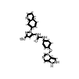 CC(C)(C)c1cc(NC(=O)Nc2ccc(ON3C=NC=C4NNC=C43)cc2)n(-c2ccc3cccnc3c2)n1